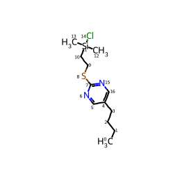 CCCCc1cnc(SCC[Si](C)(C)Cl)nc1